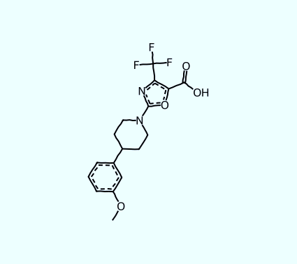 COc1cccc(C2CCN(c3nc(C(F)(F)F)c(C(=O)O)o3)CC2)c1